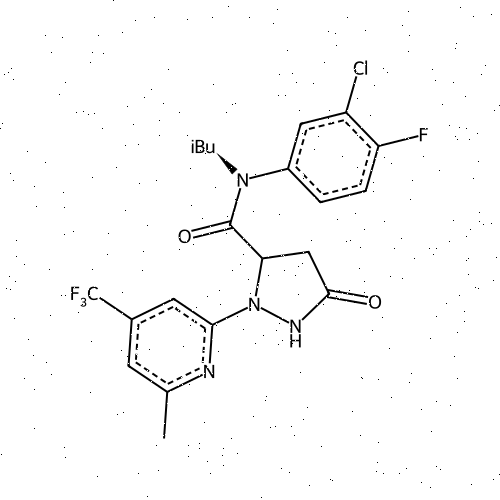 CC[C@H](C)N(C(=O)C1CC(=O)NN1c1cc(C(F)(F)F)cc(C)n1)c1ccc(F)c(Cl)c1